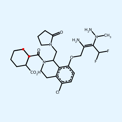 CN(N)/C(=C(\N)COc1ccc(Cl)c2c1C(CN1CCCC1=O)N(C(=O)C1CC3CCC1(C(=O)O)CC3)CC2)C(F)F